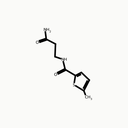 Cc1ccc(C(=O)NCCC(N)=O)s1